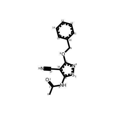 CC(=O)Nc1snc(OCc2ccccc2)c1C#N